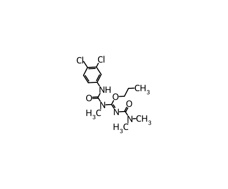 CCCOC(=NC(=O)N(C)C)N(C)C(=O)Nc1ccc(Cl)c(Cl)c1